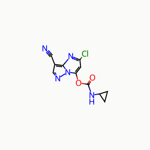 N#Cc1cnn2c(OC(=O)NC3CC3)cc(Cl)nc12